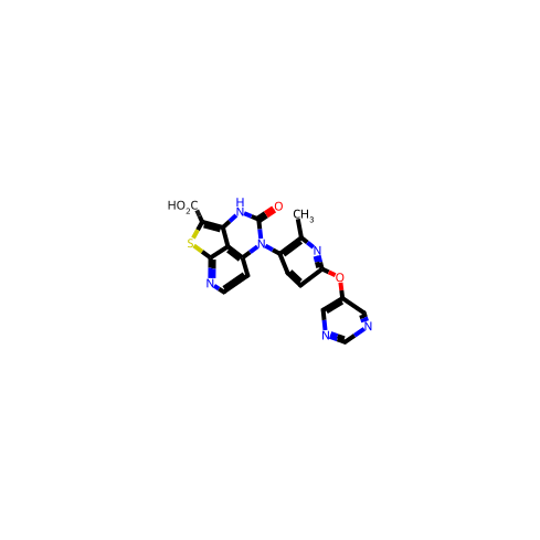 Cc1nc(Oc2cncnc2)ccc1N1C(=O)Nc2c(C(=O)O)sc3nccc1c23